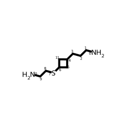 NCCCC1CC(SCCN)C1